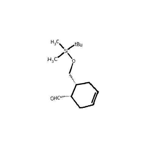 CC(C)(C)[Si](C)(C)OC[C@@H]1CC=CC[C@@H]1C=O